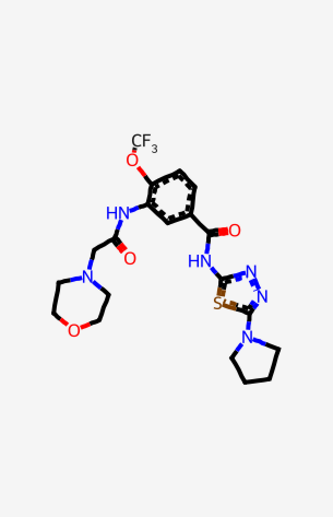 O=C(CN1CCOCC1)Nc1cc(C(=O)Nc2nnc(N3CCCC3)s2)ccc1OC(F)(F)F